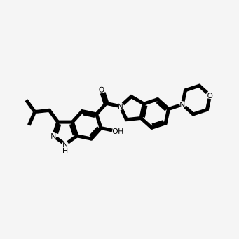 CC(C)Cc1n[nH]c2cc(O)c(C(=O)N3Cc4ccc(N5CCOCC5)cc4C3)cc12